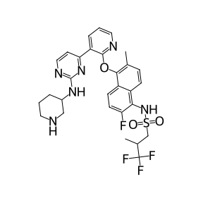 Cc1ccc2c(NS(=O)(=O)CC(C)C(F)(F)F)c(F)ccc2c1Oc1ncccc1-c1ccnc(NC2CCCNC2)n1